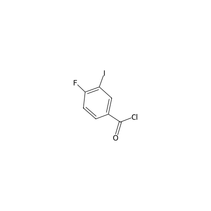 O=C(Cl)c1ccc(F)c(I)c1